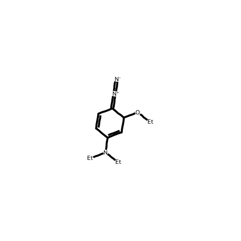 CCOC1C=C(N(CC)CC)C=CC1=[N+]=[N-]